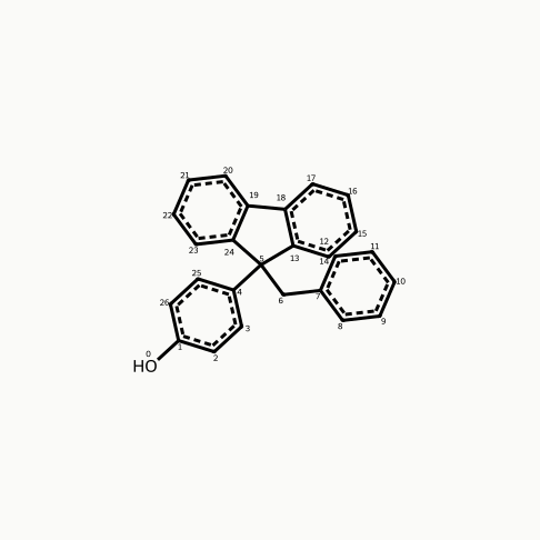 Oc1ccc(C2(Cc3ccccc3)c3ccccc3-c3ccccc32)cc1